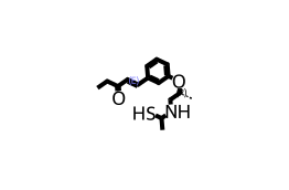 CCC(=O)/C=C/c1cccc(O[C@H](C)CNC(C)S)c1